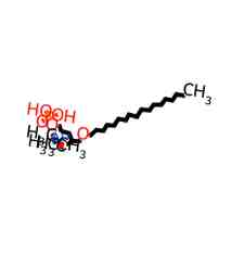 CCCCCCCCCCCCCCCCCCOCC(CC)CC(COP(=O)(O)O)[N+](C)(C)C